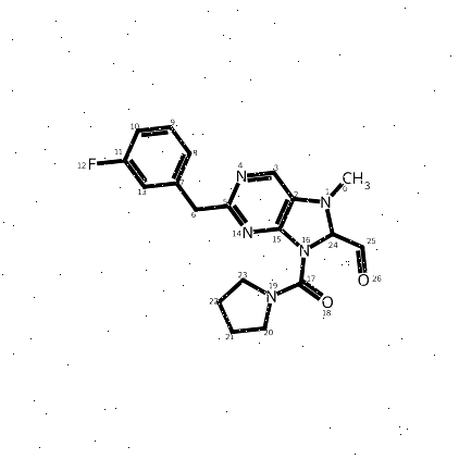 CN1c2cnc(Cc3cccc(F)c3)nc2N(C(=O)N2CCCC2)C1C=O